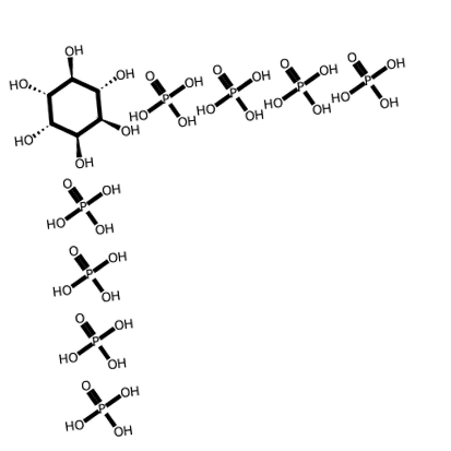 O=P(O)(O)O.O=P(O)(O)O.O=P(O)(O)O.O=P(O)(O)O.O=P(O)(O)O.O=P(O)(O)O.O=P(O)(O)O.O=P(O)(O)O.O[C@H]1[C@H](O)[C@H](O)[C@@H](O)[C@H](O)[C@H]1O